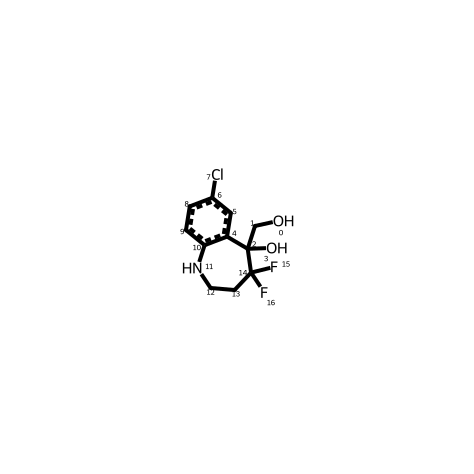 OCC1(O)c2cc(Cl)ccc2NCCC1(F)F